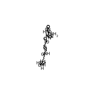 Nc1ncnc2c1c(C(=O)Nc1nc3ccccc3o1)nn2[C@@H]1CCCN(C(=O)/C=C/CN2CCN(CCNC(=O)CCCC[C@@H]3SC[C@@H]4NC(=O)N[C@@H]43)CC2)C1